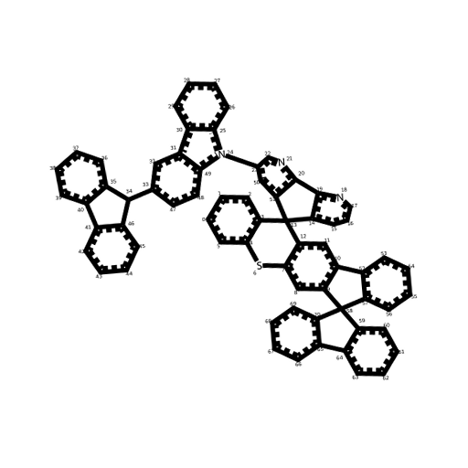 c1ccc2c(c1)Sc1cc3c(cc1C21c2cccnc2-c2ncc(-n4c5ccccc5c5cc(C6c7ccccc7-c7ccccc76)ccc54)cc21)-c1ccccc1C31c2ccccc2-c2ccccc21